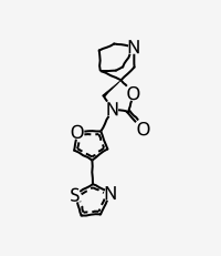 O=C1O[C@]2(CN3CCC2CC3)CN1c1cc(-c2nccs2)co1